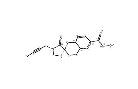 CC#CCN1CC[C@]2(CCC3C=C(C(=O)NO)C=CC3C2)C1=O